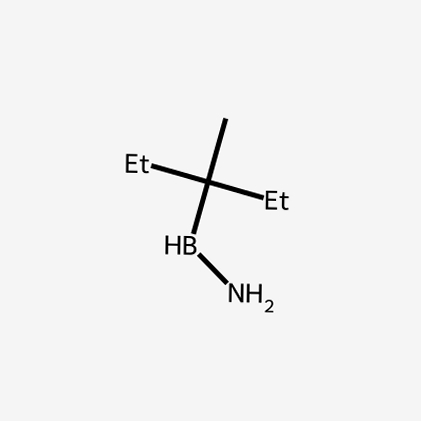 CCC(C)(BN)CC